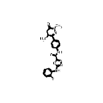 CC1CC(=O)N(C)N=C1c1ccc(NC(=O)c2nnc(Nc3ccccc3F)o2)cc1